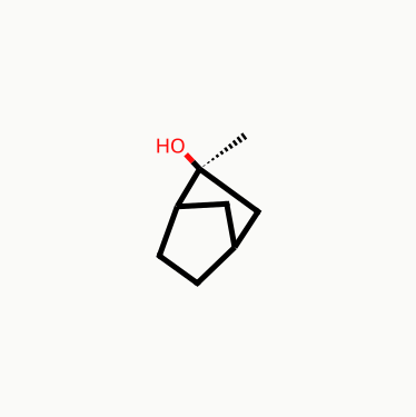 C[C@]1(O)CC2CCC1C2